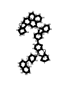 c1ccc2c(c1)Oc1cc(-c3ccc4c(c3)c3ccccc3n4-c3cc4c5c(cc6ccc7cccc3c7c64)oc3ccccc35)ccc1N2c1ccc(-c2cccc3ccccc23)cc1